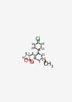 CSc1ccc(C=C2CCOC2=O)c(-c2ccc(Cl)cc2)c1